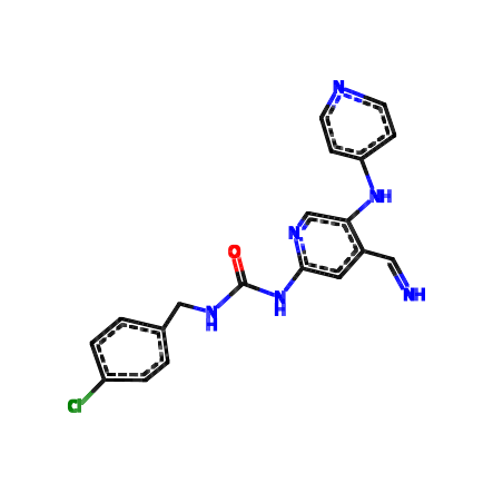 N=Cc1cc(NC(=O)NCc2ccc(Cl)cc2)ncc1Nc1ccncc1